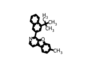 Cc1ccc2c(c1)oc1c(-c3cc(C(C)(C)C)c4ccccc4c3)nccc12